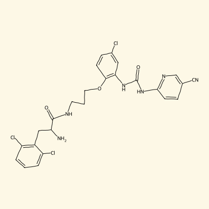 N#Cc1ccc(NC(=O)Nc2cc(Cl)ccc2OCCCNC(=O)C(N)Cc2c(Cl)cccc2Cl)nc1